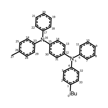 CCC(C)c1ccc(N(c2ccccc2)c2ccc(N(c3ccccc3)c3ccc(C)cc3)cc2)cc1